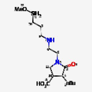 CCCCC1C(=O)N(CCNCCC[SiH2]OC)CC1C(=O)O